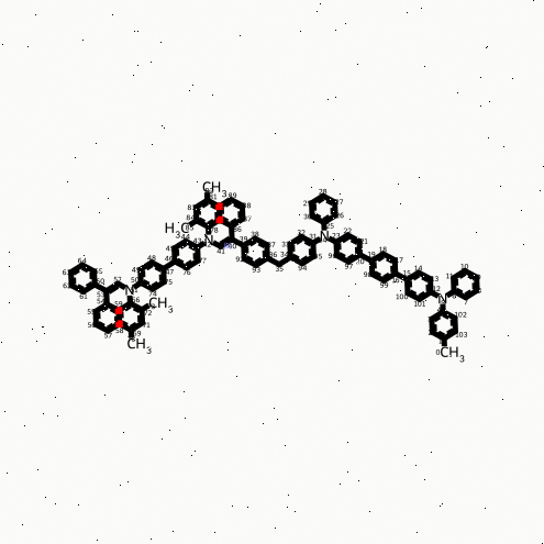 Cc1ccc(N(c2ccccc2)c2ccc(-c3ccc(-c4ccc(N(c5ccccc5)c5ccc(Cc6ccc(/C(=C/N(c7ccc(-c8ccc(N(C=C(c9ccccc9)c9ccccc9)c9ccc(C)cc9C)cc8)cc7)c7ccc(C)cc7C)c7ccccc7)cc6)cc5)cc4)cc3)cc2)cc1